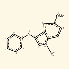 COc1ccc2c(c1)c(Sc1ccccc1)cn2C(C)C